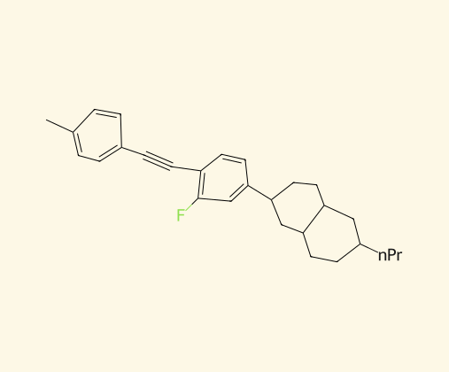 CCCC1CCC2CC(c3ccc(C#Cc4ccc(C)cc4)c(F)c3)CCC2C1